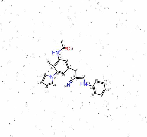 CC(=O)Nc1cc(CC(C#N)=CNc2ccccc2)cc(-n2cccc2)c1C